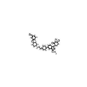 Cn1nc(C2CCC(=O)NC2=O)c2ccc(N3CCN(CCC[C@H]4CC[C@H](Oc5cccc(Br)c5)CC4)CC3)cc21